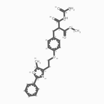 COC(=O)C(Cc1ccc(OCCc2nc(-c3ccccc3)oc2C)cc1)C(=O)NC(N)=O